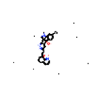 CC(C)c1ccc([C@](O)(c2cnnc(CCC3(O)CCCc4cccnc43)c2)C2(C)CN(C)C2)cc1